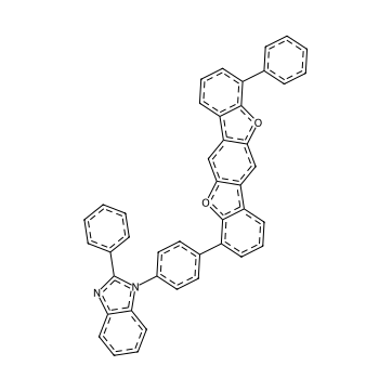 c1ccc(-c2cccc3c2oc2cc4c(cc23)oc2c(-c3ccc(-n5c(-c6ccccc6)nc6ccccc65)cc3)cccc24)cc1